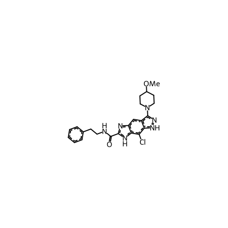 COC1CCN(c2n[nH]c3c(Cl)c4[nH]c(C(=O)NCCc5ccccc5)nc4cc23)CC1